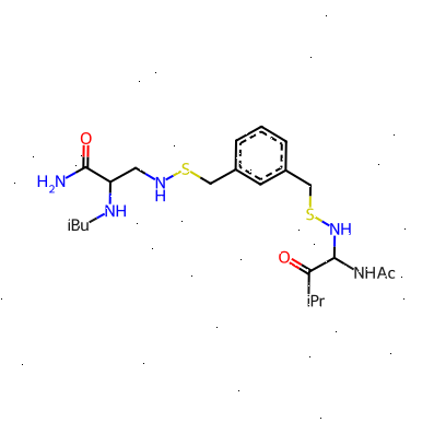 CCC(C)NC(CNSCc1cccc(CSNC(NC(C)=O)C(=O)C(C)C)c1)C(N)=O